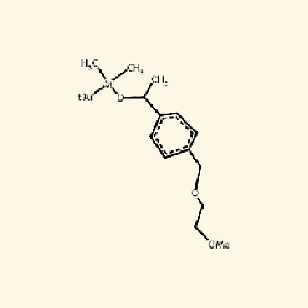 COCCOCc1ccc(C(C)O[Si](C)(C)C(C)(C)C)cc1